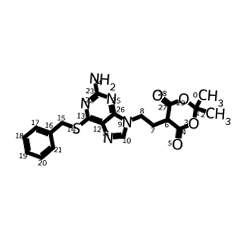 CC1(C)OC(=O)C(CCn2cnc3c(SCc4ccccc4)nc(N)nc32)C(=O)O1